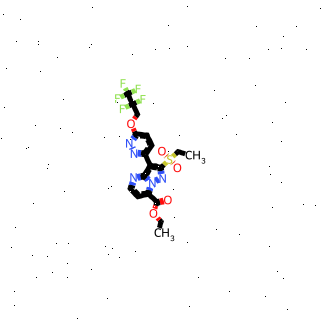 CCOC(=O)c1ccnc2c(-c3ccc(OCC(F)(F)C(F)(F)F)nn3)c(S(=O)(=O)CC)nn12